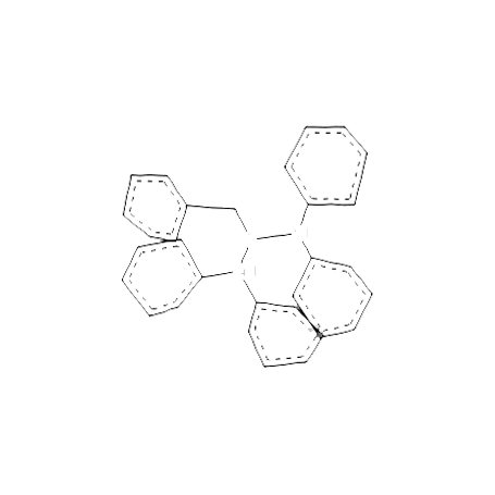 c1ccc(CP([SiH](c2ccccc2)c2ccccc2)[SiH](c2ccccc2)c2ccccc2)cc1